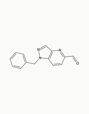 O=Cc1ccc2c(cnn2Cc2ccccc2)n1